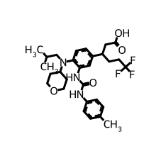 Cc1ccc(NC(=O)Nc2cc(C(CCC(F)(F)F)CC(=O)O)ccc2N(CC(C)C)C2CCOCC2)cc1